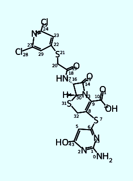 Nc1nc(O)cc(SC2=C(C(=O)O)N3C(=O)[C@@H](NC(=O)CSc4cc(Cl)nc(Cl)c4)[C@H]3SC2)n1